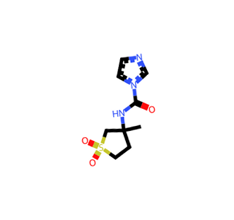 CC1(NC(=O)n2ccnc2)CCS(=O)(=O)C1